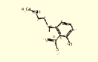 CNCCNc1ccnc(Cl)c1[N+](=O)[O-]